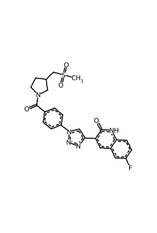 CS(=O)(=O)CC1CCN(C(=O)c2ccc(-n3cc(-c4cc5cc(F)ccc5[nH]c4=O)nn3)cc2)C1